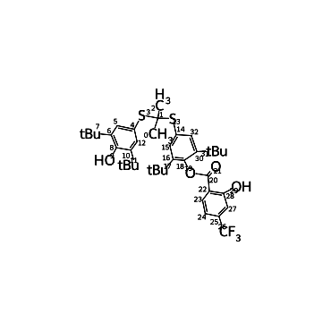 CC(C)(Sc1cc(C(C)(C)C)c(O)c(C(C)(C)C)c1)Sc1cc(C(C)(C)C)c(OC(=O)c2ccc(C(F)(F)F)cc2O)c(C(C)(C)C)c1